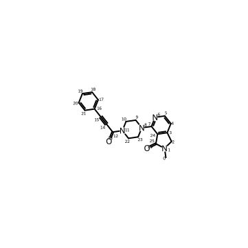 CN1Cc2ccnc(N3CCN(C(=O)C#Cc4ccccc4)CC3)c2C1=O